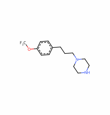 FC(F)(F)Oc1ccc(CCCN2CCNCC2)cc1